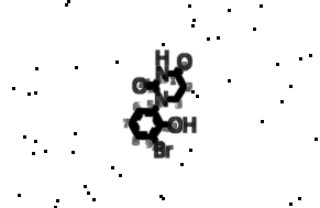 O=C1CCN(c2cccc(Br)c2O)C(=O)N1